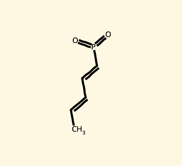 CC=CC=CP(=O)=O